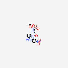 COC(=O)[C@H](CCC(=O)Nc1cc([N+](=O)[O-])ccc1Nc1ccccc1)NC(=O)OC(C)(C)C